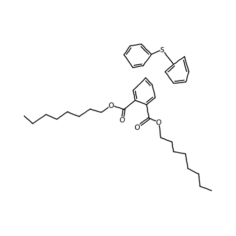 CCCCCCCCOC(=O)c1ccccc1C(=O)OCCCCCCCC.c1ccc(Sc2ccccc2)cc1